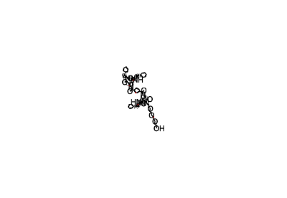 O=C(NCCOCCOCCOCCO)[C@@H]1CN(C(=O)c2ccc(C(=O)N3C[C@@H](C(=O)N[C@H]4C[C@@H]4c4ccccc4)[C@H](C(=O)N[C@H]4C[C@@H]4c4ccccc4)C3)cc2)C[C@H]1C(=O)N[C@H]1C[C@@H]1c1ccccc1